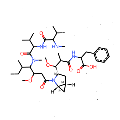 CCC(C)C(C(CC(=O)N1[C@H](C(OC)C(C)C(=O)NC(Cc2ccccc2)C(=O)O)C[C@@H]2C[C@@H]21)OC)N(C)C(=O)C(NC(=O)C(NC)C(C)C)C(C)C